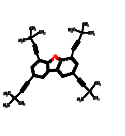 C[Si](C)(C)C#Cc1cc(C#C[Si](C)(C)C)c2oc3c(C#C[Si](C)(C)C)cc(C#C[Si](C)(C)C)cc3c2c1